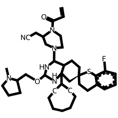 C=CC(=O)N1CCN(C2NC(OCC3CCCN3C)NC3(C4CCCCCCC4)C[C@@]4(CCc5cccc(F)c5S4)CCC23)CC1CC#N